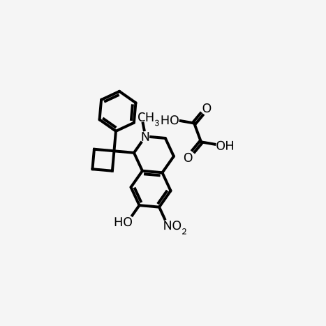 CN1CCc2cc([N+](=O)[O-])c(O)cc2C1C1(c2ccccc2)CCC1.O=C(O)C(=O)O